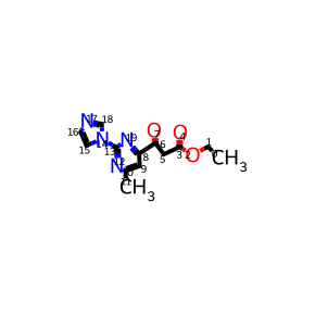 CCOC(=O)CC(=O)c1cc(C)nc(-n2ccnc2)n1